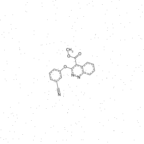 COC(=O)c1c(Oc2cccc(C#N)c2)nnc2ccccc12